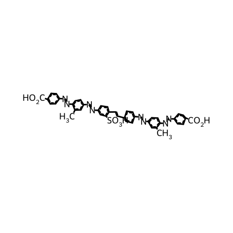 Cc1cc(N=Nc2ccc(C=Cc3ccc(N=Nc4ccc(N=Nc5ccc(C(=O)O)cc5)c(C)c4)cc3S(=O)(=O)O)cc2)ccc1N=Nc1ccc(C(=O)O)cc1